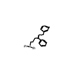 CC(C)N(CCCC(CCc1ccccc1)c1ccccc1)C(C)C